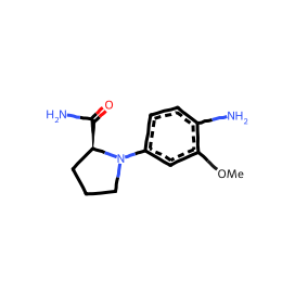 COc1cc(N2CCC[C@H]2C(N)=O)ccc1N